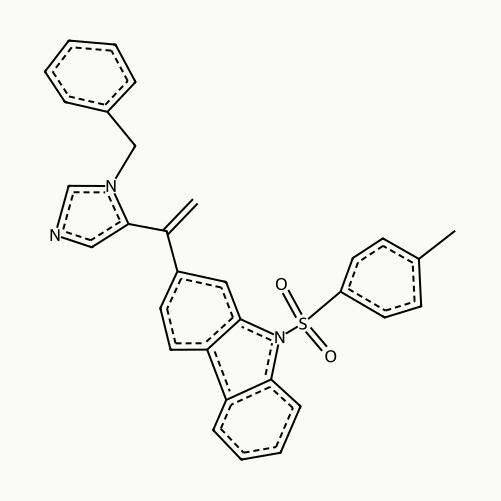 C=C(c1ccc2c3ccccc3n(S(=O)(=O)c3ccc(C)cc3)c2c1)c1cncn1Cc1ccccc1